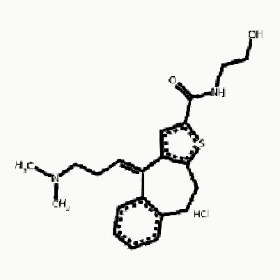 CN(C)CC/C=C1\c2ccccc2CCc2sc(C(=O)NCCO)cc21.Cl